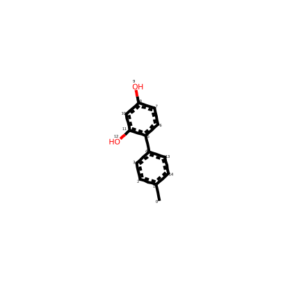 Cc1ccc(-c2ccc(O)cc2O)cc1